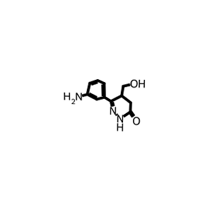 Nc1cccc(C2=NNC(=O)CC2CO)c1